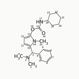 CN(C)C(c1ccccc1)c1ccc(OC(=O)NC2CCCCC2)n1C